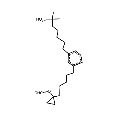 CC(C)(CCCCCc1cccc(CCCCCC2(OC=O)CC2)c1)C(=O)O